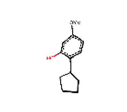 COc1ccc(C2[CH]CCC2)c(O)c1